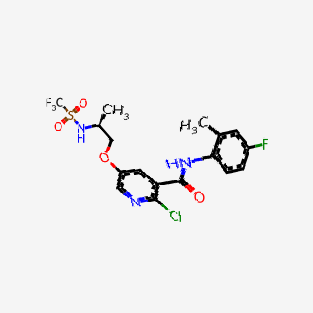 Cc1cc(F)ccc1NC(=O)c1cc(OC[C@H](C)NS(=O)(=O)C(F)(F)F)cnc1Cl